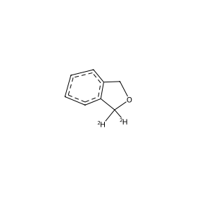 [2H]C1([2H])OCc2ccccc21